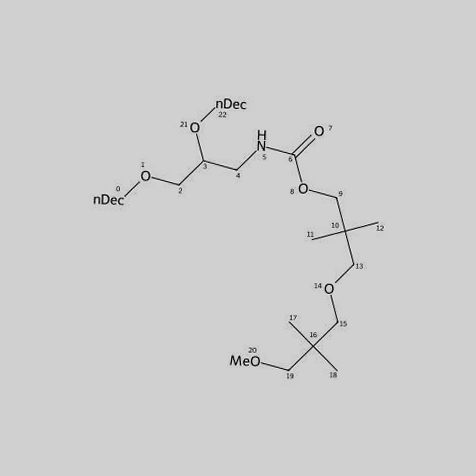 CCCCCCCCCCOCC(CNC(=O)OCC(C)(C)COCC(C)(C)COC)OCCCCCCCCCC